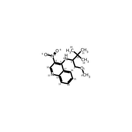 COCC(Nc1c([N+](=O)[O-])cnc2ccccc12)C(C)(C)C